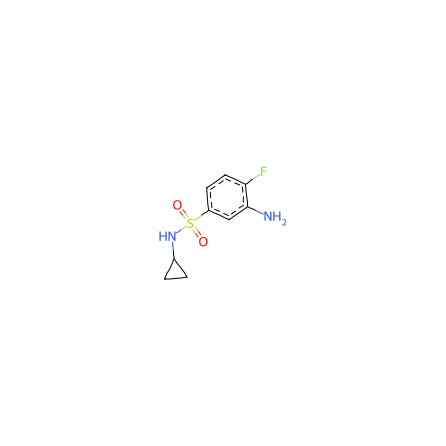 Nc1cc(S(=O)(=O)NC2CC2)ccc1F